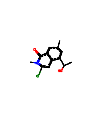 Cc1cc(C(C)O)c2cc(Cl)n(C)c(=O)c2c1